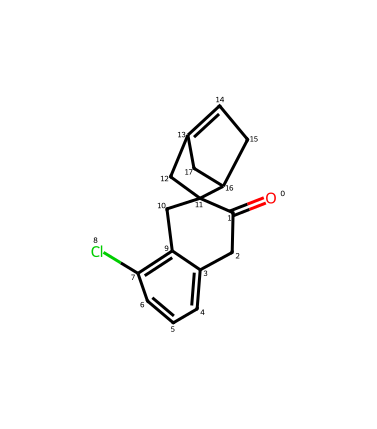 O=C1Cc2cccc(Cl)c2CC12CC1=CCC2C1